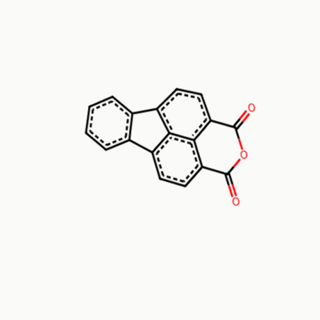 O=C1OC(=O)c2ccc3c4c(ccc1c24)-c1ccccc1-3